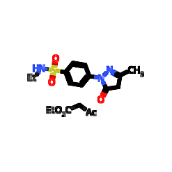 CCNS(=O)(=O)c1ccc(N2N=C(C)CC2=O)cc1.CCOC(=O)CC(C)=O